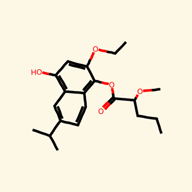 CCCC(OC)C(=O)Oc1c(OCC)cc(O)c2cc(C(C)C)ccc12